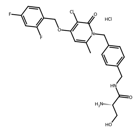 Cc1cc(OCc2ccc(F)cc2F)c(Cl)c(=O)n1Cc1ccc(CNC(=O)[C@@H](N)CO)cc1.Cl